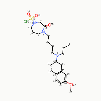 CCCN(CCCCN1CCCN(S(=O)(=O)Cl)CC1=O)C1CCc2ccc(OC)cc2C1